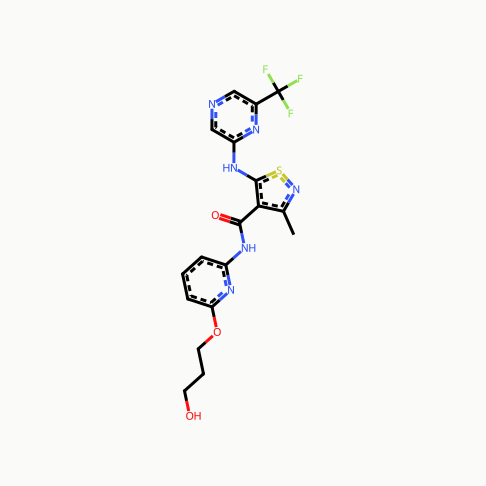 Cc1nsc(Nc2cncc(C(F)(F)F)n2)c1C(=O)Nc1cccc(OCCCO)n1